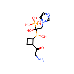 NCC(=O)C1CCC1[P@](O)C(O)(Cn1ccnc1)[PH](O)(O)O